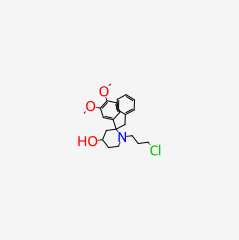 COc1ccc(C2(Cc3ccccc3)CC(O)CCN2CCCCl)cc1OC